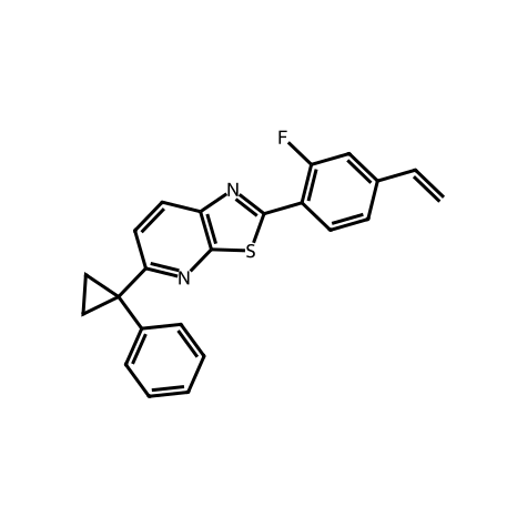 C=Cc1ccc(-c2nc3ccc(C4(c5ccccc5)CC4)nc3s2)c(F)c1